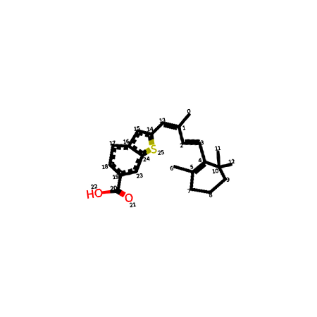 CC(C=CC1=C(C)CCCC1(C)C)=Cc1cc2ccc(C(=O)O)cc2s1